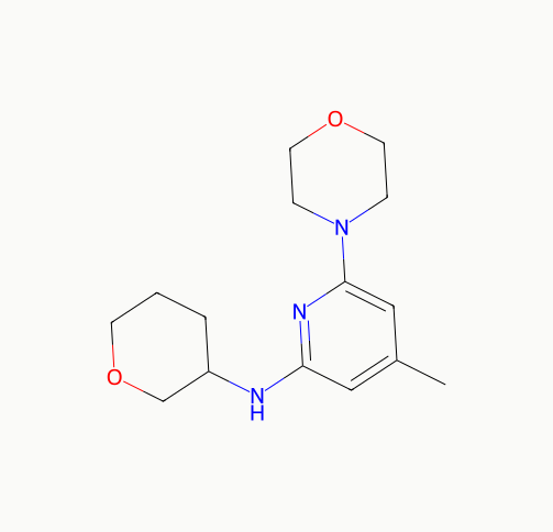 Cc1cc(NC2CCCOC2)nc(N2CCOCC2)c1